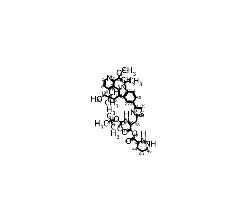 CCn1c(-c2cccnc2[C@H](C)OC)c(CC(C)(C)CO)c2cc(-c3csc(C[C@H](NC(=O)OC(C)(C)C)C(=O)OC(=O)C4CCCNN4)n3)ccc21